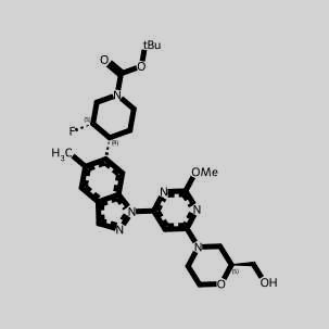 COc1nc(N2CCO[C@H](CO)C2)cc(-n2ncc3cc(C)c([C@H]4CCN(C(=O)OC(C)(C)C)C[C@H]4F)cc32)n1